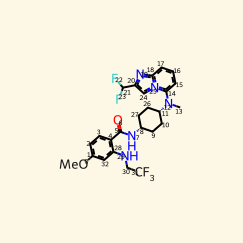 COc1ccc(C(=O)N[C@H]2CC[C@@H](N(C)c3cccc4nc(C(F)F)cn34)CC2)c(NCC(F)(F)F)c1